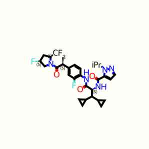 CC(C)n1nccc1C(=O)N[C@H](C(=O)Nc1ccc([C@H](C)C(=O)N2C[C@@H](F)C[C@H]2C(F)(F)F)cc1F)C(C1CC1)C1CC1